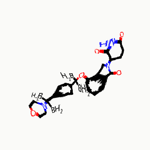 BC(B)(Oc1cccc2c1CN(C1CCC(=O)NC1=O)C2=O)c1ccc(C(B)(B)N2CCOCC2)cc1